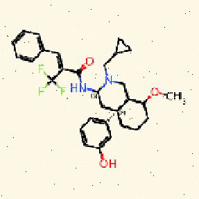 COC1CCC[C@@]2(c3cccc(O)c3)C[C@@H](NC(=O)C(=Cc3ccccc3)C(F)(F)F)N(CC3CC3)CC12